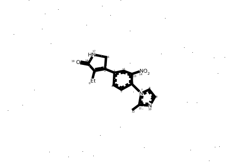 CCC1=C(c2ccc(-n3ccnc3C)c([N+](=O)[O-])c2)CNC1=O